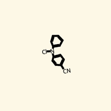 N#Cc1ccc(N(Cl)c2ccccc2)cc1